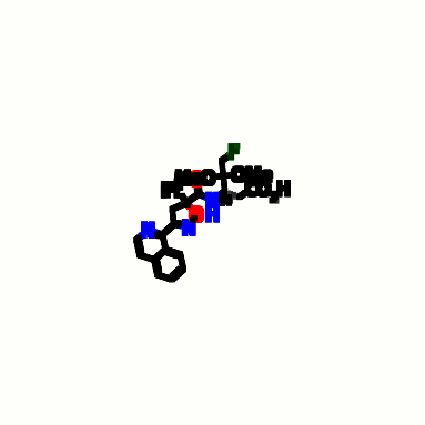 COC(CF)(OC)[C@H](CC(=O)O)NC(=O)C1(C(C)C)CC(c2nccc3ccccc23)=NO1